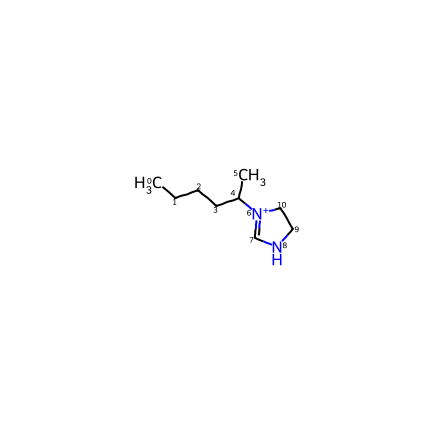 CCCCC(C)[N+]1=CNCC1